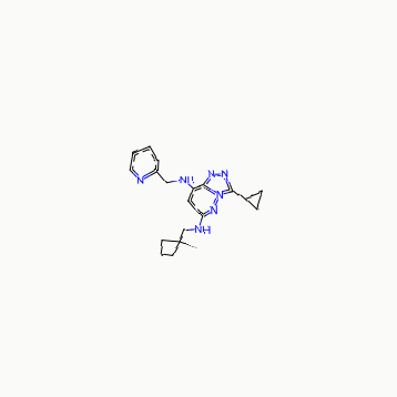 CC1(CNc2cc(NCc3ccccn3)c3nnc(C4CC4)n3n2)CCC1